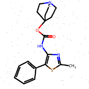 Cc1nc(NC(=O)OC23CCN(CC2)CC3)c(-c2ccccc2)s1